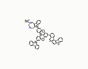 N#C/C1=C/c2c(n(-c3ccc4c(c3)Oc3cc(-c5cccc6c5sc5ccc7sc8ccccc8c7c56)cc5c3B4c3ccc(-n4c6ccccc6c6ccccc64)cc3O5)c3ccccc23)C/C=C\C1